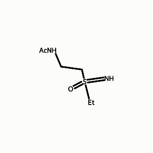 CCS(=N)(=O)CCNC(C)=O